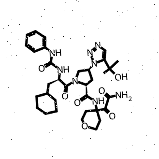 CC(C)(O)c1cnnn1[C@H]1C[C@@H](C(=O)NC2(C(=O)C(N)=O)CCOCC2)N(C(=O)[C@@H](CC2CCCCC2)NC(=O)Nc2ccccc2)C1